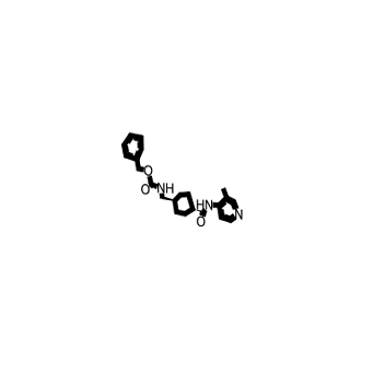 Cc1cnccc1NC(=O)[C@H]1CC[C@H](CNC(=O)OCc2ccccc2)CC1